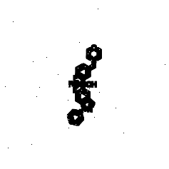 OC(c1cccc(CN2CCOCC2)c1)(c1ccc2c(cnn2-c2ccccc2)c1)C(F)(F)F